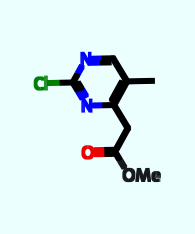 COC(=O)Cc1nc(Cl)ncc1C